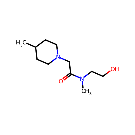 CC1CCN(CC(=O)N(C)CCO)CC1